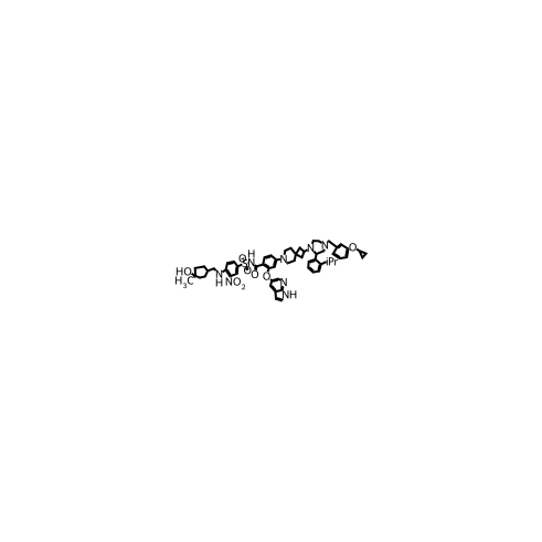 CC(C)c1ccccc1C1CN(Cc2cccc(OC3CC3)c2)CCN1C1CC2(CCN(c3ccc(C(=O)NS(=O)(=O)c4ccc(NCC5CCC(C)(O)CC5)c([N+](=O)[O-])c4)c(Oc4cnc5[nH]ccc5c4)c3)CC2)C1